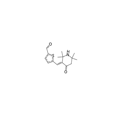 CC1(C)CC(=O)C(=Cc2ccc(C=O)s2)C(C)(C)N1